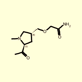 CC(=O)[C@@H]1C[C@@H](COCC(N)=O)CN1C